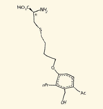 CCCc1c(OCCCCSC[C@H](N)C(=O)O)ccc(C(C)=O)c1O